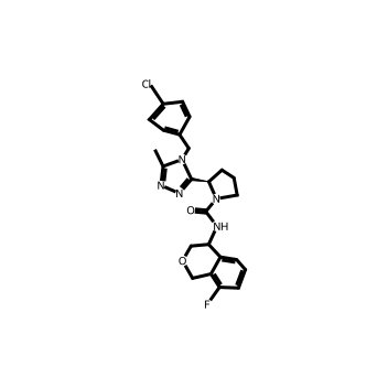 Cc1nnc([C@H]2CCCN2C(=O)NC2COCc3c(F)cccc32)n1Cc1ccc(Cl)cc1